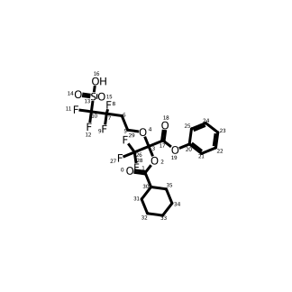 O=C(OC(OCCC(F)(F)C(F)(F)S(=O)(=O)O)(C(=O)Oc1ccccc1)C(F)(F)F)C1CCCCC1